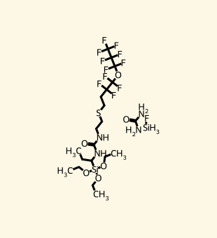 CCO[Si](OCC)(OCC)C(CC)NC(=O)NCCSCCC(F)(F)C(F)(F)OC(F)(F)C(F)(F)C(F)(F)F.F[SiH3].NC(N)=O